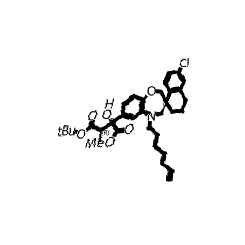 C=CCCCCCN1C[C@@]2(CCCc3cc(Cl)ccc32)COc2ccc([C@@](O)(C(=O)OC)[C@@H](C)C(=O)OC(C)(C)C)cc21